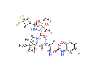 COC(C)(C)[C@H](NC(=O)C1CC(F)(F)C1)C(=O)N1C[C@H]2[C@@H]([C@H]1C(=O)N[C@H](C#N)C[C@@H]1Oc3ccc(F)cc3NC1=O)C2(C)C